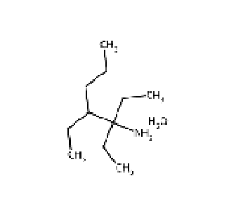 CCCC(CC)C(N)(CC)CC.O